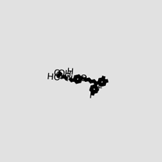 Cc1ccc(C(CCCCOc2ccc(CNCCCP(=O)(O)O)cc2)c2ccc(F)cc2F)cc1C